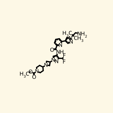 COC(=O)N1CCC(N2CC(n3cc(NC(=O)c4cccc(-c5cnn(C(C)(C)CN)c5)n4)c(C(F)F)n3)C2)CC1